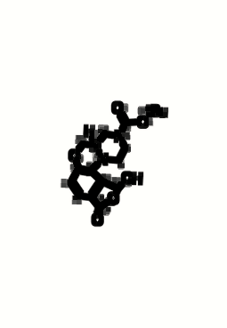 CC(C)(C)OC(=O)N1CCN2c3c(ccc4c3C(O)OC4=O)OC[Si@@H]2C1